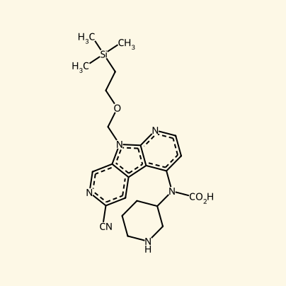 C[Si](C)(C)CCOCn1c2cnc(C#N)cc2c2c(N(C(=O)O)C3CCCNC3)ccnc21